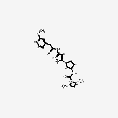 COc1cc(CC(=O)Nc2cc([C@H]3CC[C@@H](OC(=O)N4[C@H](C)C[C@H]4C)C3)[nH]n2)ccn1